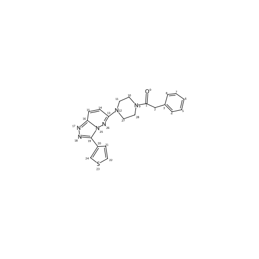 O=C(Cc1ccccc1)N1CCN(c2ccc3nnc(-c4ccsc4)n3n2)CC1